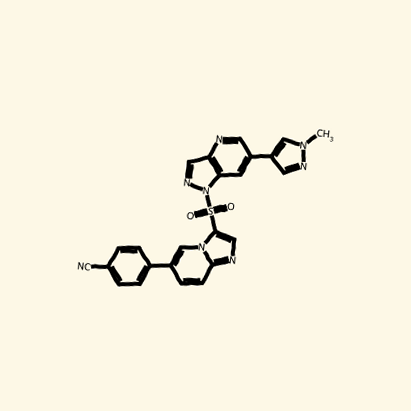 Cn1cc(-c2cnc3cnn(S(=O)(=O)c4cnc5ccc(-c6ccc(C#N)cc6)cn45)c3c2)cn1